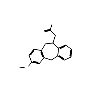 COc1ccc2c(c1)Cc1ccccc1C(CC(=O)O)C2